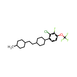 CC1CCC(CCC2CCC(c3ccc(OC(F)(F)F)c(F)c3Cl)CC2)CC1